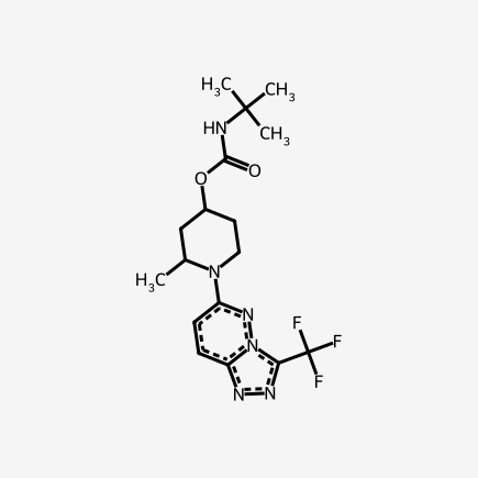 CC1CC(OC(=O)NC(C)(C)C)CCN1c1ccc2nnc(C(F)(F)F)n2n1